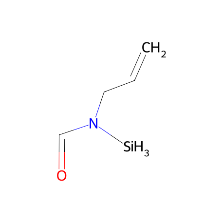 C=CCN([SiH3])C=O